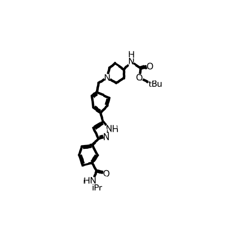 CC(C)NC(=O)c1cccc(-c2cc(-c3ccc(CN4CCC(NC(=O)OC(C)(C)C)CC4)cc3)[nH]n2)c1